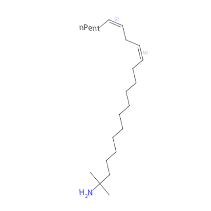 CCCCC/C=C\C/C=C\CCCCCCCCCCC(C)(C)N